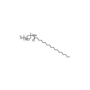 CCCCCCCCCCCCCCCCCC(=O)NC(C)(CO)COC(C)(C)OC